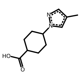 Cc1cnn(C2CCC(C(=O)O)CC2)c1